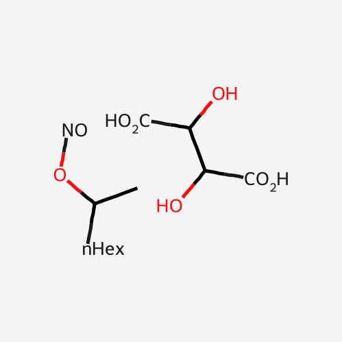 CCCCCCC(C)ON=O.O=C(O)C(O)C(O)C(=O)O